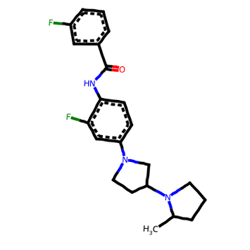 CC1CCCN1C1CCN(c2ccc(NC(=O)c3cccc(F)c3)c(F)c2)C1